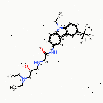 CCN(CC)C[C@@H](O)CNCC(=O)Nc1ccc2c(c1)c1cc(C(C)(C)C)ccc1n2CC